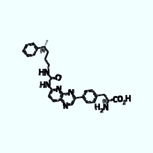 C[C@H](CCCNC(=O)Nc1ccc2ncc(-c3ccc(C[C@H](N)C(=O)O)cc3)nc2n1)c1ccccc1